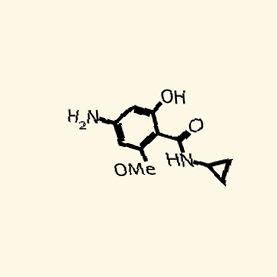 COc1cc(N)cc(O)c1C(=O)NC1CC1